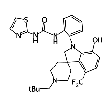 CC(C)(C)CN1CCC2(CC1)CN(c1ccccc1NC(=O)Nc1nccs1)c1c(O)ccc(C(F)(F)F)c12